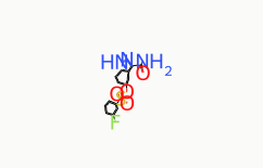 NC(=O)c1n[nH]c2ccc(OS(=O)(=O)c3cccc(F)c3)cc12